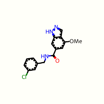 COc1cc(C(=O)NCc2cccc(Cl)c2)cc2[nH]ncc12